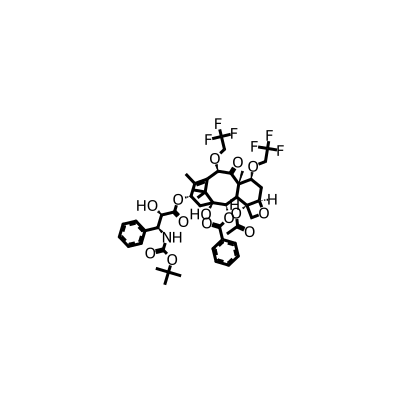 CC(=O)O[C@@]12CO[C@@H]1C[C@H](OCC(F)(F)F)[C@@]1(C)C(=O)[C@H](OCC(F)(F)F)C3=C(C)[C@@H](OC(=O)[C@H](O)[C@@H](NC(=O)OC(C)(C)C)c4ccccc4)C[C@@](O)([C@@H](OC(=O)c4ccccc4)[C@H]21)C3(C)C